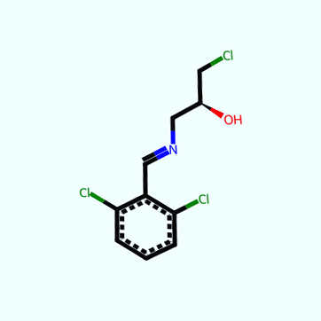 O[C@H](CCl)CN=Cc1c(Cl)cccc1Cl